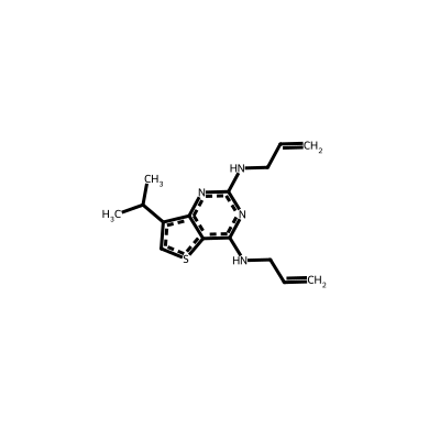 C=CCNc1nc(NCC=C)c2scc(C(C)C)c2n1